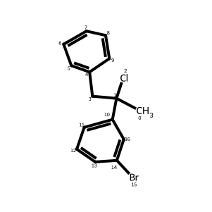 CC(Cl)(Cc1ccccc1)c1cccc(Br)c1